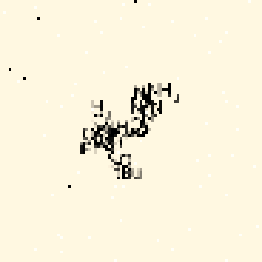 CC(C)OC(=O)C(C)NP(=O)(OCCSC(=O)C(C)(C)C)OCC1CCC(n2cnc3c(N)ncnc32)O1